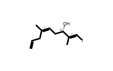 C=CC/C(C)=C\C[C@H](O)/C(C)=C/I